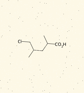 CC(CCl)CC(C)C(=O)O